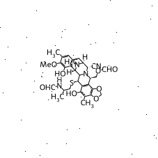 COc1c(C)cc2c(c1O)[C@H]1C3[C@H](SC[C@@H](C)NC=O)c4c(O)c(C)c5c(c4[C@H](COC=O)N3[C@@H](C#N)[C@H](C2)N1C)OCO5